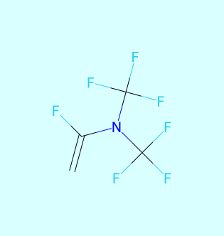 C=C(F)N(C(F)(F)F)C(F)(F)F